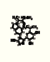 CC(C)c1cc(-c2nnc(O)n2-c2ccc3c(ccn3C(C)C(=O)NN)c2)c(O)cc1O